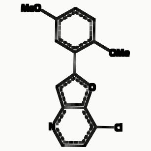 COc1ccc(OC)c(-c2cc3nccc(Cl)c3o2)c1